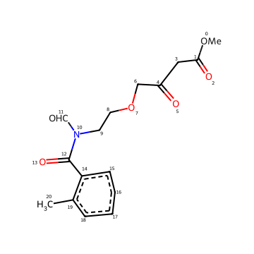 COC(=O)CC(=O)COCCN(C=O)C(=O)c1ccccc1C